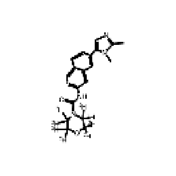 [2H]C1([2H])OC([2H])([2H])C([2H])([2H])N(C(=O)Nc2cc3cc(-c4cnc(C)n4C)ccc3cn2)C1([2H])[2H]